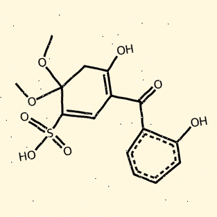 COC1(OC)CC(O)=C(C(=O)c2ccccc2O)C=C1S(=O)(=O)O